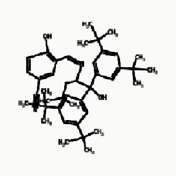 CC(C)CC(N=Cc1cc(C#N)ccc1O)C(O)(c1cc(C(C)(C)C)cc(C(C)(C)C)c1)c1cc(C(C)(C)C)cc(C(C)(C)C)c1